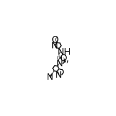 COc1ccc(NC[C@H]2CN(c3ccc(C#N)c4ncccc34)C[C@@H](C)O2)cn1